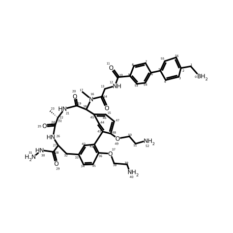 BCc1ccc(-c2ccc(C(=O)NCC(=O)N(C)C3C(=O)N[C@@H](C)C(=O)NC(C(=O)NN)Cc4ccc(OCCN)c(c4)-c4cc3ccc4OCCN)cc2)cc1